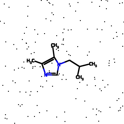 Cc1n[c]n(CC(C)C)c1C